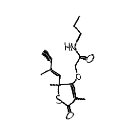 C=C/C(C)=C/C1(C)SC(=O)C(C)=C1OCC(=O)NCCC